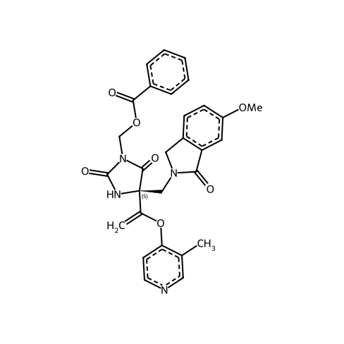 C=C(Oc1ccncc1C)[C@]1(CN2Cc3ccc(OC)cc3C2=O)NC(=O)N(COC(=O)c2ccccc2)C1=O